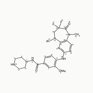 COc1cc(C(=O)NN2CCNCC2)ccc1Nc1ncc2c(n1)N(C(C)C)CC(F)(F)C(=O)N2C